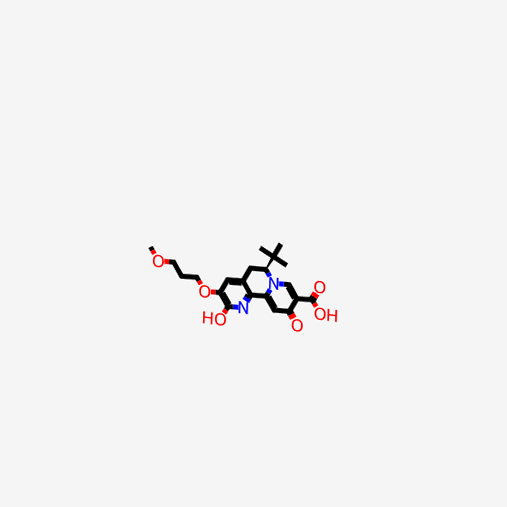 COCCCOc1cc2c(nc1O)-c1cc(=O)c(C(=O)O)cn1[C@H](C(C)(C)C)C2